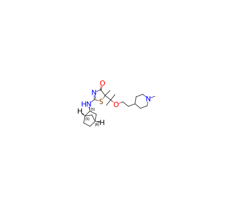 CN1CCC(CCOC(C)(C)C2(C)SC(N[C@H]3C[C@@H]4CC[C@H]3C4)=NC2=O)CC1